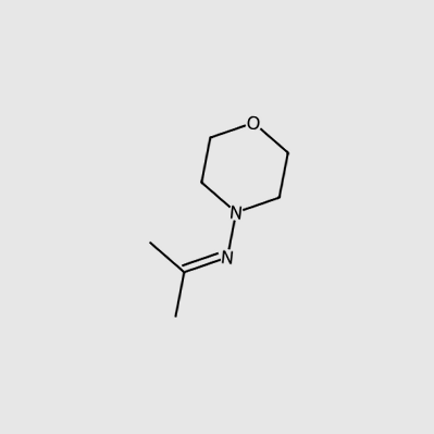 CC(C)=NN1CCOCC1